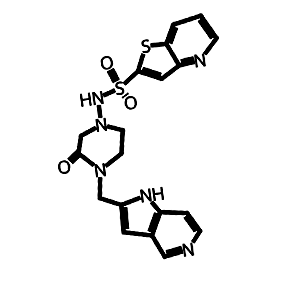 O=C1CN(NS(=O)(=O)c2cc3ncccc3s2)CCN1Cc1cc2cnccc2[nH]1